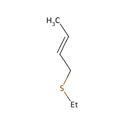 CC=CCSCC